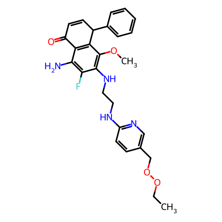 CCOOCc1ccc(NCCNc2c(F)c(N)c3c(c2OC)C(c2ccccc2)C=CC3=O)nc1